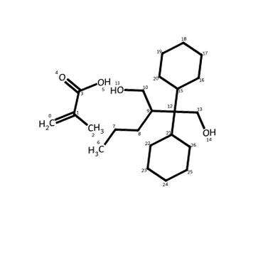 C=C(C)C(=O)O.CCCC(CO)C(CO)(C1CCCCC1)C1CCCCC1